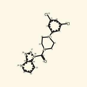 O=C(N1CCN(c2cc(Cl)cc(Cl)c2)CC1)n1nnc2ncccc21